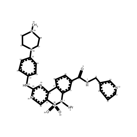 CCCN1c2cc(C(=O)NCc3cccnc3)ccc2-c2nc(Nc3ccc(N4CCN(C)CC4)cc3)ncc2S1(=O)=O